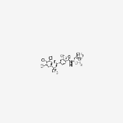 C[C@H](C[S+](C)[O-])NC(=O)c1ccc(/C(F)=C/C(c2cc(Cl)c(Cl)c(Cl)c2)C(F)(F)F)cc1C(F)(F)F